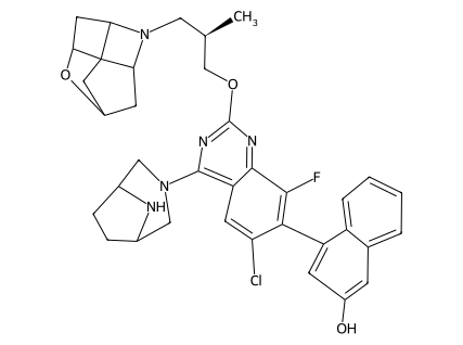 C[C@@H](COc1nc(N2CC3CCC(C2)N3)c2cc(Cl)c(-c3cc(O)cc4ccccc34)c(F)c2n1)CN1C2CC3CC24C(CC14)O3